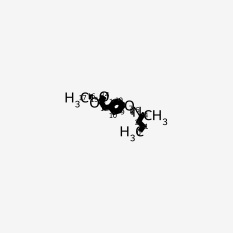 CCCC(C)/N=C/Oc1ccc(CC(=O)OCC)cc1